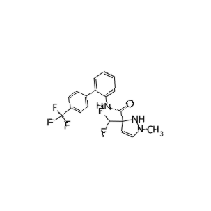 CN1C=CC(C(=O)Nc2ccccc2-c2ccc(C(F)(F)F)cc2)(C(F)F)N1